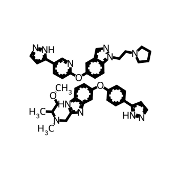 COCC(C)N(C)Cc1nc2cc(Oc3ccc(-c4ccn[nH]4)cc3)ccc2[nH]1.c1cc(-c2ccc(Oc3ccc4c(cnn4CCN4CCCC4)c3)nc2)[nH]n1